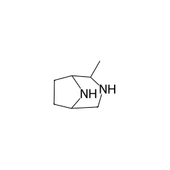 CC1NCC2CCC1N2